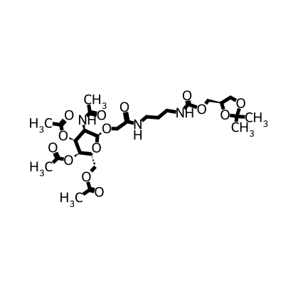 CC(=O)N[C@H]1[C@H](OCC(=O)NCCCNC(=O)OC[C@H]2COC(C)(C)O2)O[C@H](COC(C)=O)[C@H](OC(C)=O)[C@@H]1OC(C)=O